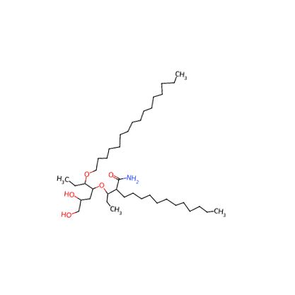 CCCCCCCCCCCCCCCCOC(CC)C(CC(O)CO)OC(CC)C(CCCCCCCCCCCC)C(N)=O